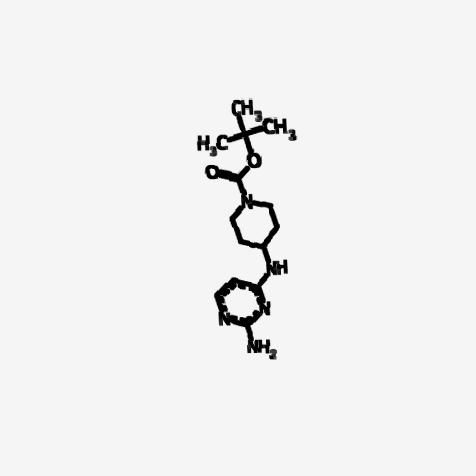 CC(C)(C)OC(=O)N1CCC(Nc2ccnc(N)n2)CC1